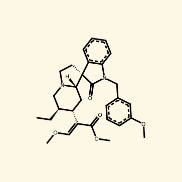 CC[C@H]1CN2CC[C@]3(C(=O)N(Cc4cccc(OC)c4)c4ccccc43)[C@@H]2C[C@@H]1/C(=C\OC)C(=O)OC